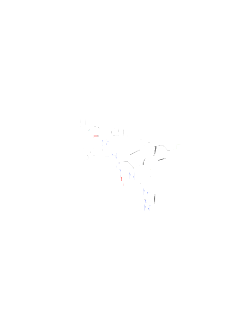 C=CC(=O)N1[C@H](C)CN(c2nc(=O)n3c4c(c(-c5ccc(F)cc5)c(C)cc24)SCC(n2ccnc2)C3)C[C@@H]1C